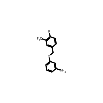 Nc1cccc(OCc2ccc(F)c(C(F)(F)F)c2)c1